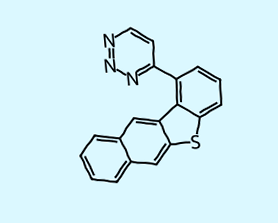 c1ccc2cc3c(cc2c1)sc1cccc(-c2ccnnn2)c13